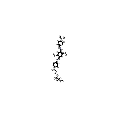 CCC(C)(C)C(=O)OCCN(C)c1ccc(/N=N/c2cc(OC)c(/N=N/c3ccc([N+](=O)[O-])cc3)cc2OC)cc1